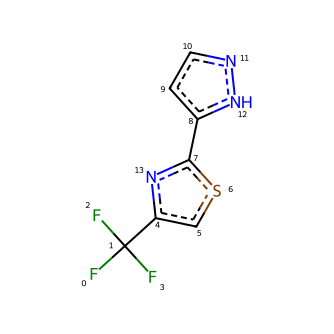 FC(F)(F)c1csc(-c2ccn[nH]2)n1